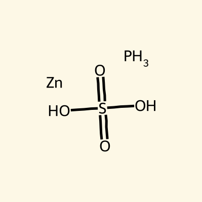 O=S(=O)(O)O.P.[Zn]